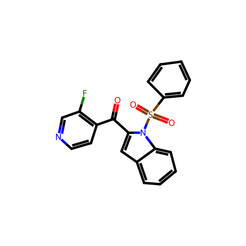 O=C(c1ccncc1F)c1cc2ccccc2n1S(=O)(=O)c1ccccc1